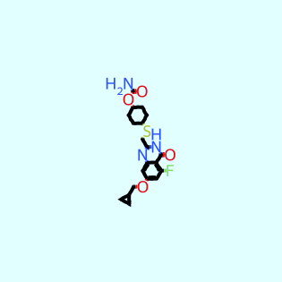 NC(=O)OC1CCC(SCc2nc3cc(OCC4CC4)cc(F)c3c(=O)[nH]2)CC1